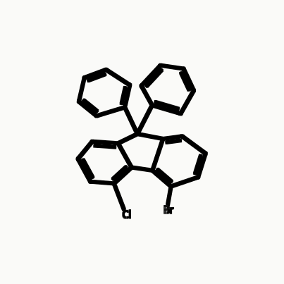 Clc1cccc2c1-c1c(Br)cccc1C2(c1ccccc1)c1ccccc1